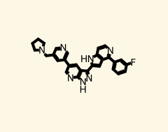 Fc1cccc(-c2nccc3[nH]c(-c4n[nH]c5ncc(-c6cncc(CN7CCCC7)c6)cc45)cc23)c1